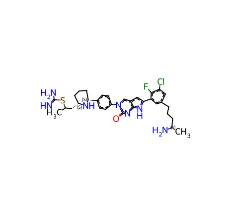 CC(C[C@@H]1CCC[C@@H](c2ccc(-n3cc4cc(-c5cc(CCC[C@H](C)N)cc(Cl)c5F)[nH]c4nc3=O)cc2)N1)SC(=N)N